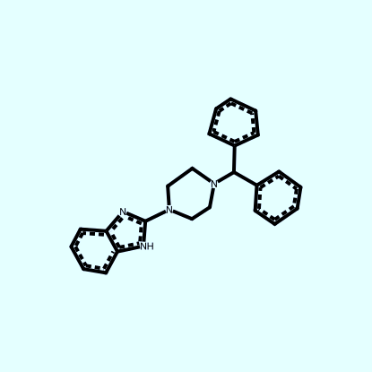 c1ccc(C(c2ccccc2)N2CCN(c3nc4ccccc4[nH]3)CC2)cc1